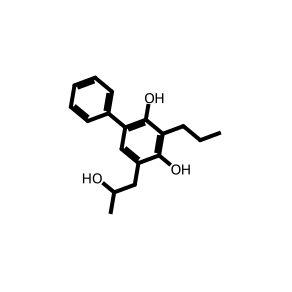 CCCc1c(O)c(CC(C)O)cc(-c2ccccc2)c1O